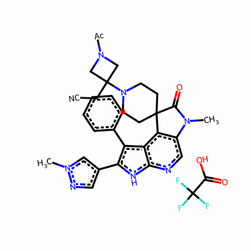 CC(=O)N1CC(CC#N)(N2CCC3(CC2)C(=O)N(C)c2cnc4[nH]c(-c5cnn(C)c5)c(-c5ccccc5)c4c23)C1.O=C(O)C(F)(F)F